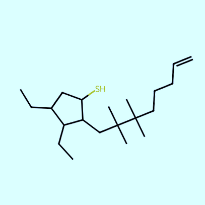 C=CCCCC(C)(C)C(C)(C)CC1C(S)CC(CC)C1CC